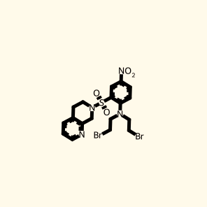 O=[N+]([O-])c1ccc(N(CCBr)CCBr)c(S(=O)(=O)N2CCc3cccnc3C2)c1